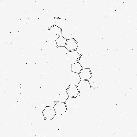 COC(=O)C[C@@H]1COc2cc(O[C@@H]3CCc4c3ccc(C(F)(F)F)c4-c3ccc(C(=O)NC4CCOCC4)cc3)ccc21